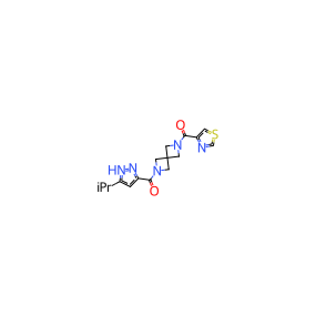 CC(C)c1cc(C(=O)N2CC3(CN(C(=O)c4cscn4)C3)C2)n[nH]1